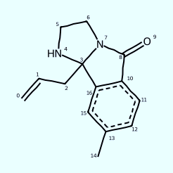 C=CCC12NCCN1C(=O)c1ccc(C)cc12